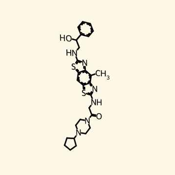 Cc1c2nc(NCC(=O)N3CCN(C4CCCC4)CC3)sc2cc2sc(NCC(O)c3ccccc3)nc12